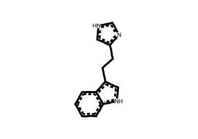 c1ccc2c(CCc3c[nH]cn3)c[nH]c2c1